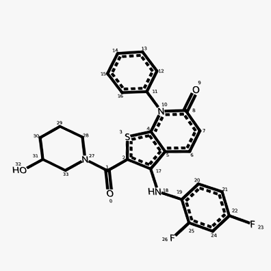 O=C(c1sc2c(ccc(=O)n2-c2ccccc2)c1Nc1ccc(F)cc1F)N1CCCC(O)C1